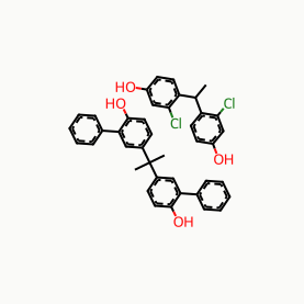 CC(C)(c1ccc(O)c(-c2ccccc2)c1)c1ccc(O)c(-c2ccccc2)c1.CC(c1ccc(O)cc1Cl)c1ccc(O)cc1Cl